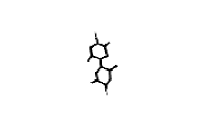 CC1CC(C2CC(C)C(I)CC2C)C(C)CC1I